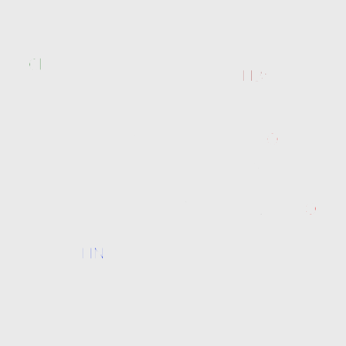 Br.O=C1C=C2CCNCC(c3cccc(Cl)c3)C2=CC1=O